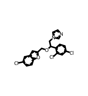 Clc1ccc(C(Cn2ccnc2)OCc2cc3cc(Cl)ccc3o2)c(Cl)c1